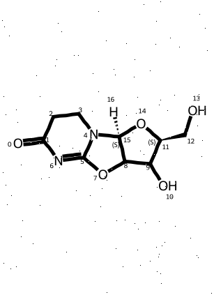 O=C1CCN2C(=N1)OC1C(O)[C@H](CO)O[C@@H]12